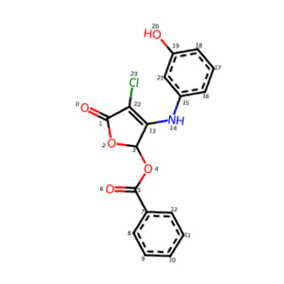 O=C1OC(OC(=O)c2ccccc2)C(Nc2cccc(O)c2)=C1Cl